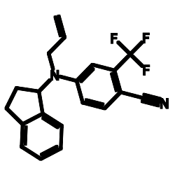 C=CCN(c1ccc(C#N)c(C(F)(F)F)c1)C1CCc2ccccc21